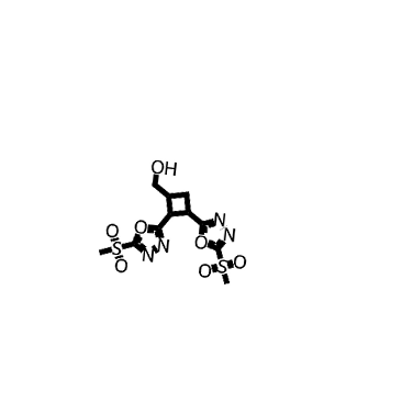 CS(=O)(=O)c1nnc(C2CC(CO)C2c2nnc(S(C)(=O)=O)o2)o1